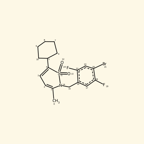 CC1=CC=C(C2CCCCC2)S(=O)(=O)N1Cc1cc(F)c(Br)cc1F